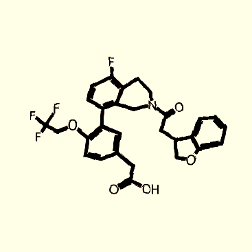 O=C(O)Cc1ccc(OCC(F)(F)F)c(-c2ccc(F)c3c2CN(C(=O)CC2COc4ccccc42)CC3)c1